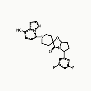 N#Cc1ccc(N2CCC3(CC2)OC2CCC(c4cc(F)cc(F)c4)N2C3=O)n2nccc12